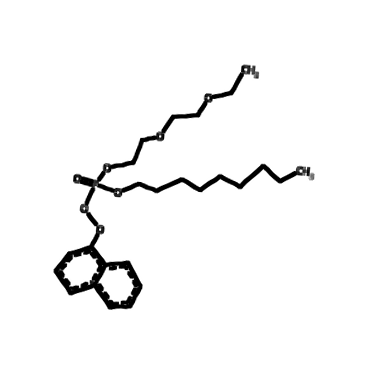 CCCCCCCCCOP(=O)(OCCOCCOCC)OOc1cccc2ccccc12